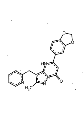 Cc1nn2c(=O)cc(-c3ccc4c(c3)OCO4)[nH]c2c1Cc1ccccn1